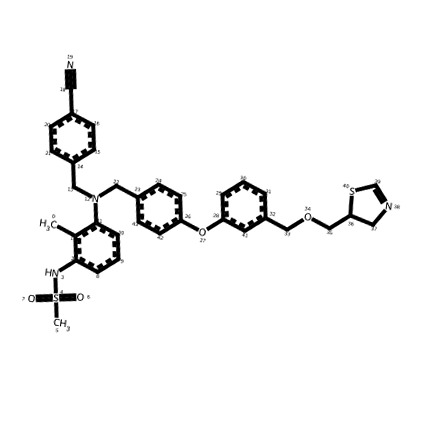 Cc1c(NS(C)(=O)=O)cccc1N(Cc1ccc(C#N)cc1)Cc1ccc(Oc2cccc(COCC3CN=CS3)c2)cc1